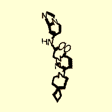 O=C(Cn1nc(N2CCC3(CCC3)CC2)ccc1=O)Nc1ccn2ccnc2c1